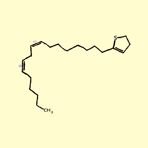 CCCCC/C=C\C/C=C\CCCCCCCC1=CCCS1